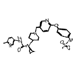 Cc1ccc(NC(=O)N(C2CC2)C2CCN(Cc3ccc(Oc4ccc(NS(C)(=O)=O)cc4)nc3)CC2)cn1